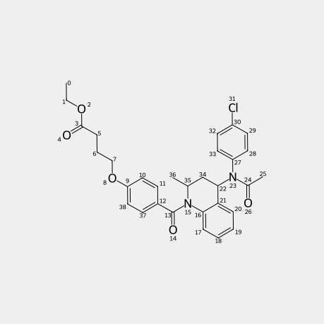 CCOC(=O)CCCOc1ccc(C(=O)N2c3ccccc3C(N(C(C)=O)c3ccc(Cl)cc3)CC2C)cc1